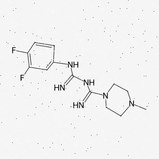 CN1CCN(C(=N)NC(=N)Nc2ccc(F)c(F)c2)CC1